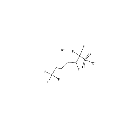 O=S(=O)([O-])C(F)(F)C(F)CCCC(F)(F)F.[K+]